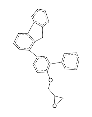 c1ccc(-c2cc(-c3cccc4c3Cc3ccccc3-4)ccc2OCC2CO2)cc1